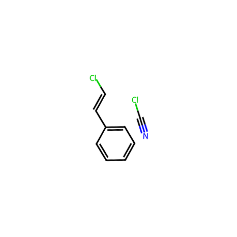 ClC=Cc1ccccc1.N#CCl